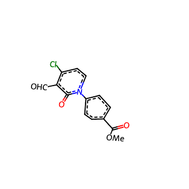 COC(=O)c1ccc(-n2ccc(Cl)c(C=O)c2=O)cc1